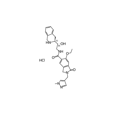 CCOc1cc2c(cc1C(=O)NC[C@@H](O)[C@@H]1Cc3ccccc3CN1)CN(Cc1cnn(C)c1)C2=O.Cl